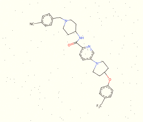 N#Cc1ccc(CN2CCC(NC(=O)c3ccc(N4CCC(Oc5ccc(C(F)(F)F)cc5)CC4)cn3)CC2)cc1